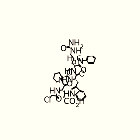 CN(C(=O)[C@H](CCCNC(N)=O)NC(=O)[C@H](Cc1c[nH]c2ccccc12)NC(=O)[C@@H]1CCCCN1C(=O)[C@H](CCC(=O)O)NC(=O)CCl)c1ccccc1